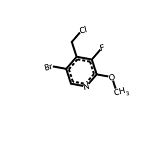 COc1ncc(Br)c(CCl)c1F